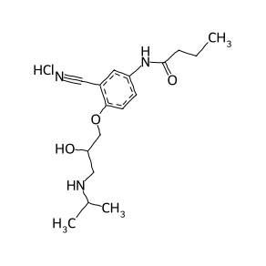 CCCC(=O)Nc1ccc(OCC(O)CNC(C)C)c(C#N)c1.Cl